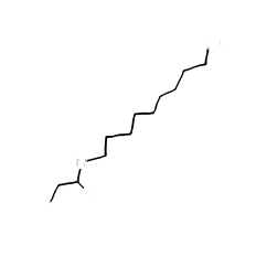 CCCCCCCCCCNC(O)CC